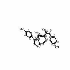 CC(C)c1ccc(-c2cnc3cnc(C(=O)N(C)c4ccc(C#N)cc4)cn23)cc1